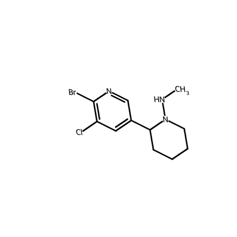 CNN1CCCCC1c1cnc(Br)c(Cl)c1